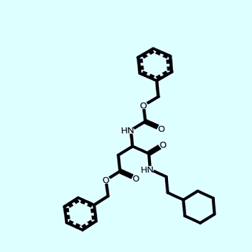 O=C(CC(NC(=O)OCc1ccccc1)C(=O)NCCC1CCCCC1)OCc1ccccc1